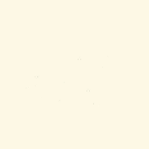 CCCCCCC(CCCC)COc1c2cc(-c3sc(C(C)(C)C)c4sc(C(=O)OCC(CC)CCCC)c(F)c34)sc2cc2c(OCC(CCCC)CCCCCC)c3cc(C(C)(C)C)sc3cc12